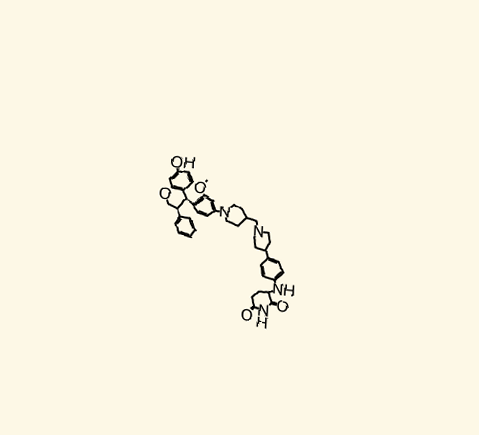 COc1cc(N2CCC(CN3CCC(c4ccc(NC5CCC(=O)NC5=O)cc4)CC3)CC2)ccc1[C@@H]1c2ccc(O)cc2OC[C@@H]1c1ccccc1